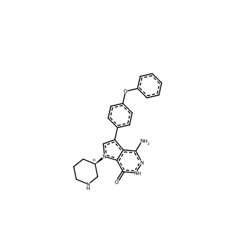 Nc1n[nH]c(=O)c2c1c(-c1ccc(Oc3ccccc3)cc1)cn2[C@@H]1CCCNC1